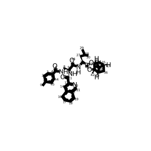 Cc1ccc(C(=O)NC[C@H](NC(=O)c2cc3ccccc3cn2)C(=O)N[C@@H](CC(C)C)B2O[C@@H]3C[C@@H]4C[C@@H](C4(C)C)[C@]3(C)O2)cc1